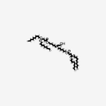 CCCCCC/C=C\COC(CCC(=O)OCCCCCCN(CCO)CCCCCCOC(=O)CCC(OC/C=C\CCCCCC)OC/C=C\CCCCCC)OC/C=C\CCCCCC